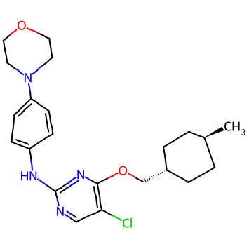 C[C@H]1CC[C@H](COc2nc(Nc3ccc(N4CCOCC4)cc3)ncc2Cl)CC1